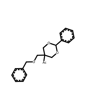 CC(=O)C1(COCc2ccccc2)COC(c2ccccc2)OC1